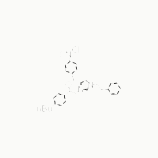 CCCCc1ccc(C(C[n+]2ccn(CCc3ccccc3)c2)OCc2ccc(C#N)cc2)cc1.[Cl-]